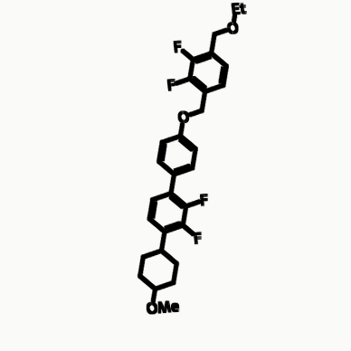 CCOCc1ccc(COc2ccc(-c3ccc(C4CCC(OC)CC4)c(F)c3F)cc2)c(F)c1F